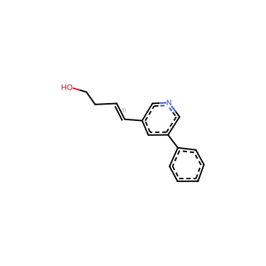 OCC/C=C/c1cncc(-c2ccccc2)c1